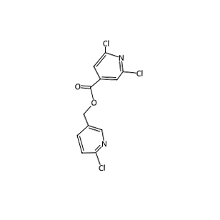 O=C(OCc1ccc(Cl)nc1)c1cc(Cl)nc(Cl)c1